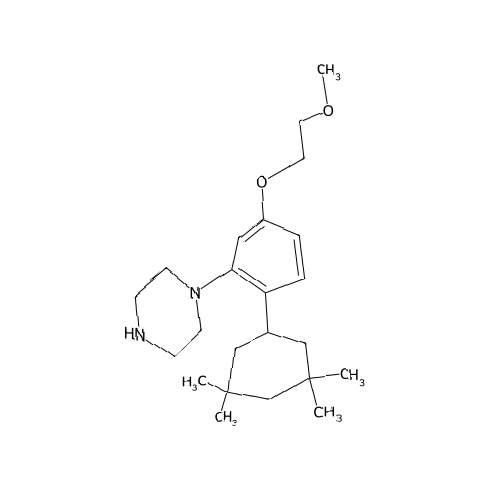 COCCOc1ccc(C2CC(C)(C)CC(C)(C)C2)c(N2CCNCC2)c1